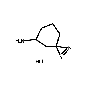 Cl.NC1CCCC2(C1)N=N2